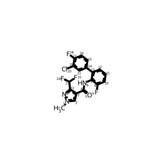 Cn1cc(C(=O)Nc2c(F)cccc2-c2ccc(F)c(Cl)c2)c(C(F)F)n1